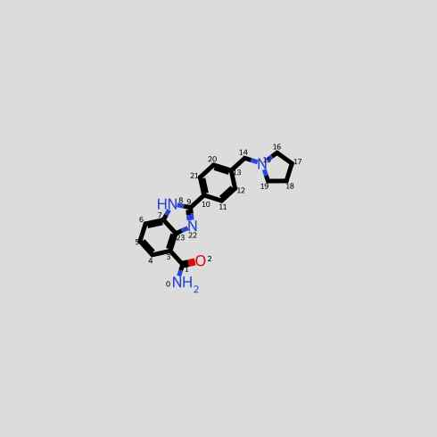 NC(=O)c1cccc2[nH]c(-c3ccc(CN4CCCC4)cc3)nc12